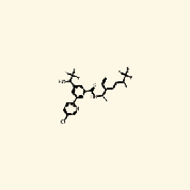 C=C/C(=C\C=C(/C)C(F)(F)F)[C@@H](C)NC(=O)c1cc(-c2ccc(Cl)cn2)cc(C(O)C(F)(F)F)c1